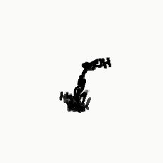 C[C@@H](O)[C@H](NCOCc1ccc(/C=C/C=C/c2ccc(CO)o2)cc1)C(=O)NO